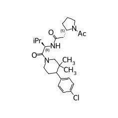 CC(=O)N1CCC[C@H]1CC(=O)N[C@@H](C(=O)N1CCC(c2ccc(Cl)cc2)C(C)(C)C1)C(C)C